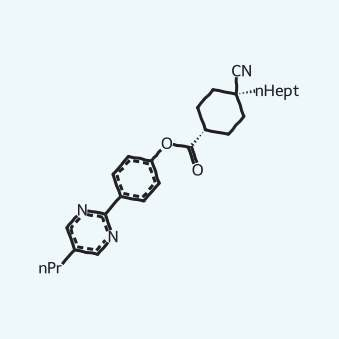 CCCCCCC[C@]1(C#N)CC[C@H](C(=O)Oc2ccc(-c3ncc(CCC)cn3)cc2)CC1